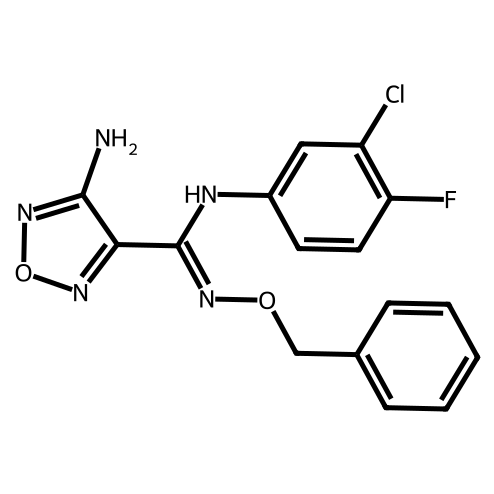 Nc1nonc1/C(=N/OCc1ccccc1)Nc1ccc(F)c(Cl)c1